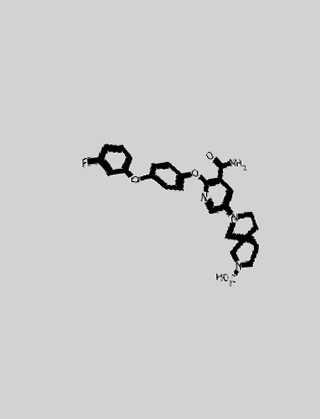 NC(=O)c1cc(N2CCC3(CCN(C(=O)O)C3)C2)cnc1Oc1ccc(Oc2cccc(F)c2)cc1